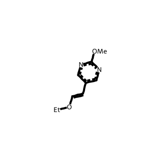 CCOC=Cc1cnc(OC)nc1